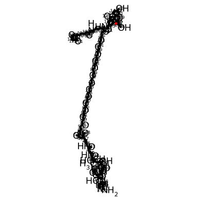 CC(C)(COP(=O)(O)OP(=O)(O)OC[C@H]1O[C@@H](n2cnc3c(N)ncnc32)[C@@H](O)C1OP(=O)(O)O)[C@@H](O)C(=O)NCCC(=O)NCCSC1CC(=O)N(CCCC(=O)CCOCCOCCOCCOCCOCCOCCOCCOCCOCCOCCOCCOCCCC(=O)C(CCCCNC(=O)CCCCCN2C(=O)C=CC2=O)NC(=O)c2ccc3c(c2)C(=O)OC32c3ccc(O)cc3Oc3cc(O)ccc32)C1=O